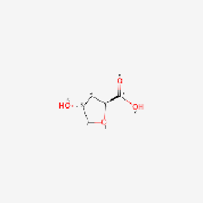 O=C(O)[C@@H]1C[C@@H](O)CO1